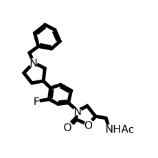 CC(=O)NCC1CN(c2ccc(C3CCN(Cc4ccccc4)C3)c(F)c2)C(=O)O1